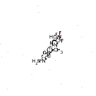 C[C@H]1CN(S(=O)(=O)c2cnc(N)s2)CCN1c1ncc(C(O)(C(F)(F)F)C(F)(F)F)cn1